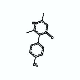 Cc1cc(=O)c(-c2ccc(C(F)(F)F)cc2)c(C)[nH]1